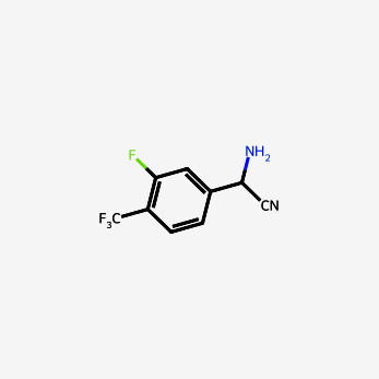 N#CC(N)c1ccc(C(F)(F)F)c(F)c1